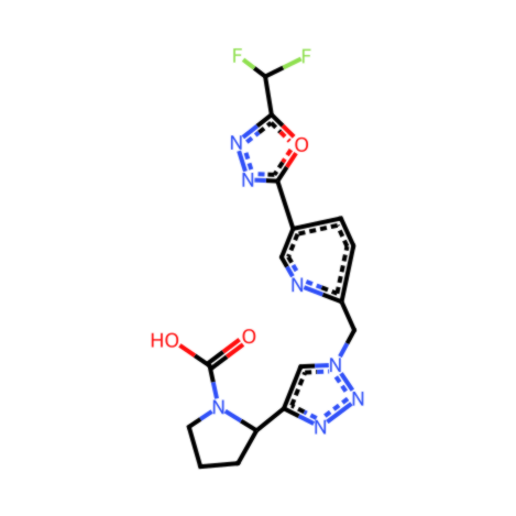 O=C(O)N1CCCC1c1cn(Cc2ccc(-c3nnc(C(F)F)o3)cn2)nn1